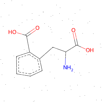 NC(Cc1ccccc1C(=O)O)C(=O)O